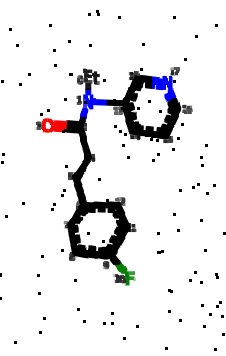 CCN(C(=O)CCc1ccc(F)cc1)c1cccnc1